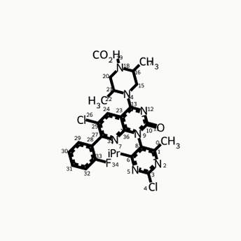 Cc1nc(Cl)nc(C(C)C)c1-n1c(=O)nc(N2CC(C)N(C(=O)O)CC2C)c2cc(Cl)c(-c3ccccc3F)nc21